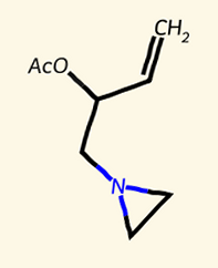 C=CC(CN1CC1)OC(C)=O